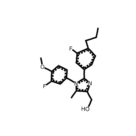 CCCc1ccc(-c2nc(CO)c(C)n2-c2ccc(OC)c(F)c2)cc1F